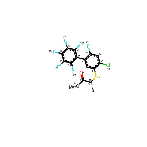 COC(=O)[C@@H](C)Sc1cc(-c2c(F)c(F)c(F)c(F)c2F)c(F)cc1Cl